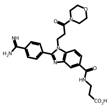 N=C(N)c1ccc(-c2nc3cc(C(=O)NCCC(=O)O)ccc3n2CCC(=O)N2CCOCC2)cc1